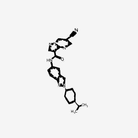 CC(C)[C@H]1CC[C@H](n2cc3cc(NC(=O)c4cnn5cc(C#N)cnc45)ccc3n2)CC1